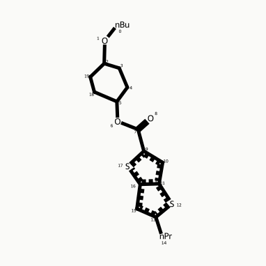 CCCCOC1CCC(OC(=O)c2cc3sc(CCC)cc3s2)CC1